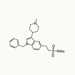 CNS(=O)(=O)CCc1ccc2c(c1)c(C1CCN(C)CC1)cn2Cc1ccccc1